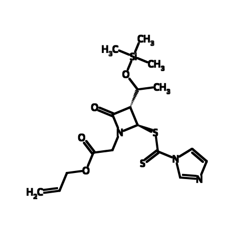 C=CCOC(=O)CN1C(=O)[C@H](C(C)O[Si](C)(C)C)[C@H]1SC(=S)n1ccnc1